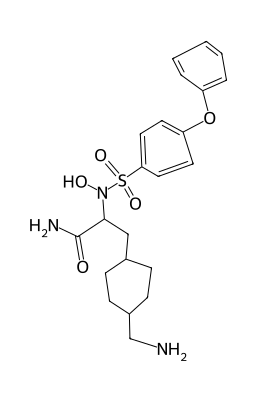 NCC1CCC(CC(C(N)=O)N(O)S(=O)(=O)c2ccc(Oc3ccccc3)cc2)CC1